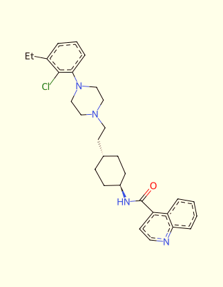 CCc1cccc(N2CCN(CC[C@H]3CC[C@H](NC(=O)c4ccnc5ccccc45)CC3)CC2)c1Cl